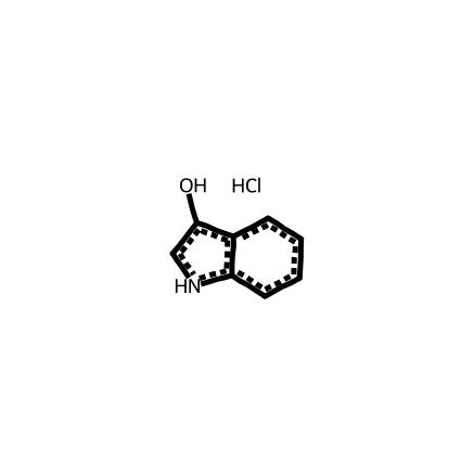 Cl.Oc1c[nH]c2ccccc12